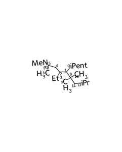 CCCC(C)C(C(CC)C[C@@H](C)NC)C(C)(C)CC(C)C